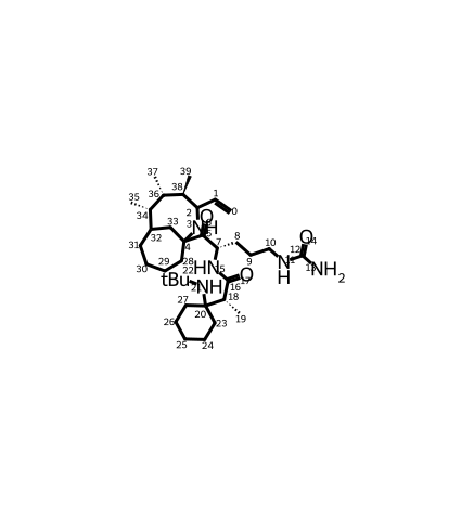 C=CC1NC2(C(=O)[C@H](CCCNC(N)=O)NC(=O)[C@H](C)C3(NC(C)(C)C)CCCCC3)CCCCC(C2)[C@H](C)[C@H](C)[C@H]1C